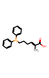 C/C(=C\CCCP(c1ccccc1)c1ccccc1)C(=O)O